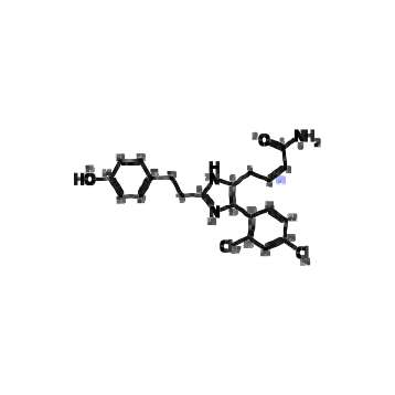 NC(=O)/C=C\Cc1[nH]c([CH]Cc2ccc(O)cc2)nc1-c1ccc(Cl)cc1Cl